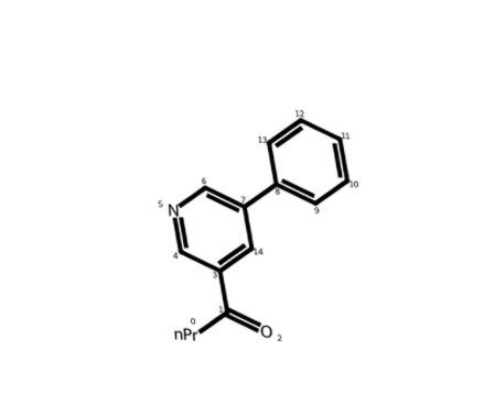 CCCC(=O)c1cncc(-c2ccccc2)c1